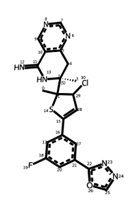 CC1([C@]2(C)Cc3ncncc3C(=N)N2)SC(c2cc(F)cc(-c3nnco3)c2)=CC1Cl